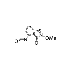 COn1sc2cccc(N=C=O)c2c1=O